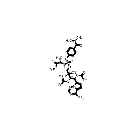 CO[C@](C#N)(COP(=O)(N[C@@H](C)C(=O)OC(C)C)Oc1ccc(C(=O)N(C)C)cc1)[C@@H](OC(=O)C(C)C)[C@@H](OC(=O)C(C)C)c1ccc2c(N)ncnn12